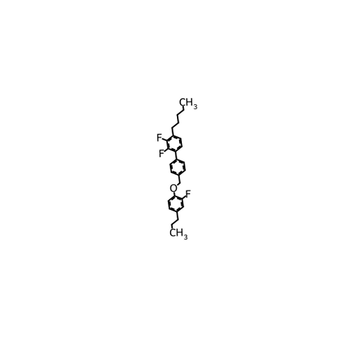 CCCCCc1ccc(-c2ccc(COc3ccc(CCC)cc3F)cc2)c(F)c1F